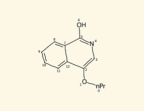 CCCOc1cnc(O)c2ccccc12